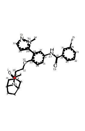 CC(=O)N1C2CCC1CN(CCOc1ccc(NC(=O)c3cccc(F)c3)cc1-c1ccnn1C)C2